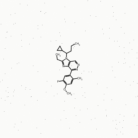 CCCC(C1CC1)n1c(CC)nc2c(-c3cc(F)c(OC)cc3C)nncc21